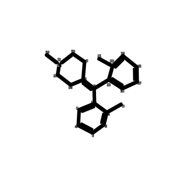 Cc1ccccc1C(=C1CCN(C)CC1)c1ccccc1C